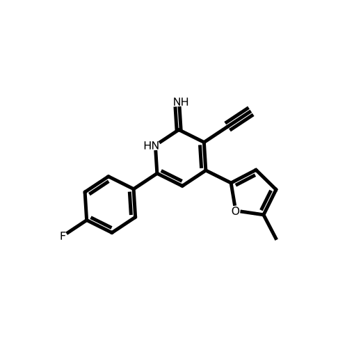 C#Cc1c(-c2ccc(C)o2)cc(-c2ccc(F)cc2)[nH]c1=N